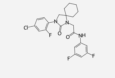 O=C(CN1C(=O)N(c2ccc(Cl)cc2F)CC12CCCCC2)Nc1cc(F)cc(F)c1